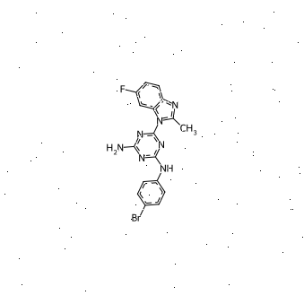 Cc1nc2ccc(F)cc2n1-c1nc(N)nc(Nc2ccc(Br)cc2)n1